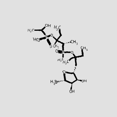 B[C@@H]1O[C@H](CC(C)(CC)OP(C)(=O)[C@@H](C)C(C)(CC)OP(=O)(O)C(C)O)[C@@H](O)[C@H]1O